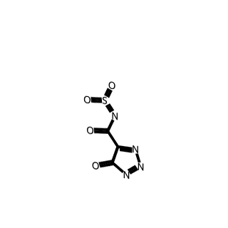 O=C1N=NN=C1C(=O)N=S(=O)=O